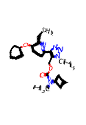 COCc1nc(-c2nnn(C)c2COC(=O)N(C)C2CCC2)ccc1OC1CCCCC1